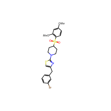 COc1ccc(S(=O)(=O)C2CCN(c3nc(Cc4cccc(Br)c4)cs3)CC2)c(OC)c1